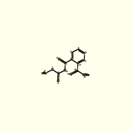 CCCCOC(=O)OC(=O)c1ccccc1C(=O)OC